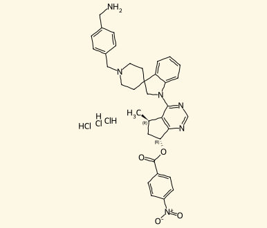 C[C@@H]1C[C@@H](OC(=O)c2ccc([N+](=O)[O-])cc2)c2ncnc(N3CC4(CCN(Cc5ccc(CN)cc5)CC4)c4ccccc43)c21.Cl.Cl.Cl